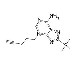 C#CCCCn1cnc(N)c2nc(S(C)(C)C)nc1-2